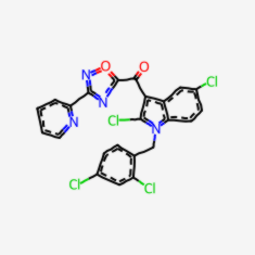 O=C(c1nc(-c2ccccn2)no1)c1c(Cl)n(Cc2ccc(Cl)cc2Cl)c2ccc(Cl)cc12